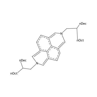 CCCCCCCCCCC(CCCCCCCC)CN1C=c2ccc3c4c(ccc(c24)=C1)=CN(CC(CCCCCCCC)CCCCCCCCCC)C=3